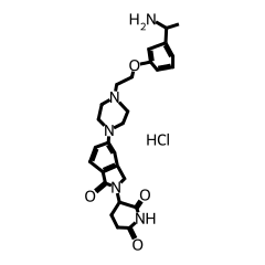 CC(N)c1cccc(OCCN2CCN(c3ccc4c(c3)CN(C3CCC(=O)NC3=O)C4=O)CC2)c1.Cl